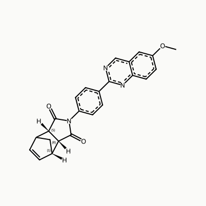 COc1ccc2nc(-c3ccc(N4C(=O)[C@@H]5[C@@H]6C=CC(C6)[C@@H]5C4=O)cc3)ncc2c1